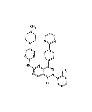 Cc1ccccc1-n1nc(-c2ccc(-c3ncccn3)cc2)c2nc(Nc3ccc(N4CCN(C)CC4)cc3)ncc2c1=O